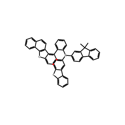 CC1(C)c2ccccc2-c2ccc(N(c3ccc4sc5ccccc5c4c3)c3ccccc3-c3cccc4oc5c6ccccc6ccc5c34)cc21